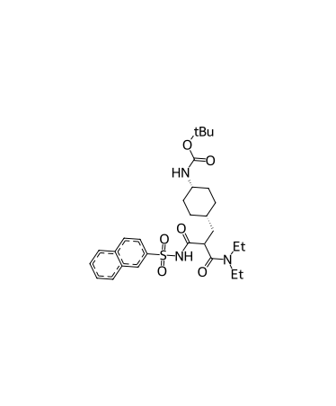 CCN(CC)C(=O)C(C[C@H]1CC[C@@H](NC(=O)OC(C)(C)C)CC1)C(=O)NS(=O)(=O)c1ccc2ccccc2c1